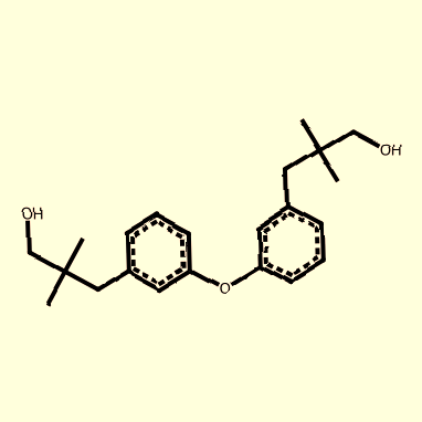 CC(C)(CO)Cc1cccc(Oc2cccc(CC(C)(C)CO)c2)c1